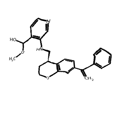 C=C(c1ccccc1)c1ccc2c(c1)OCC[C@H]2CNc1cnccc1C(O)OC